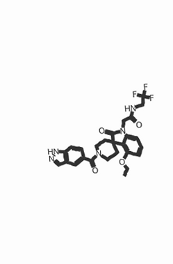 CCOc1cccc2c1C1(CCN(C(=O)c3ccc4[nH]ncc4c3)CC1)C(=O)N2CC(=O)NCC(F)(F)F